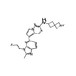 Cc1nc2ccc(-c3ccn4nc(NC5CC6(CNC6)C5)ncc34)nc2n1CCF